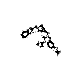 O=C(Oc1cscn1)N(Cc1cccc(OC(F)(F)F)c1)CC1C2CN(Cc3nc4ccccc4[nH]3)CC21